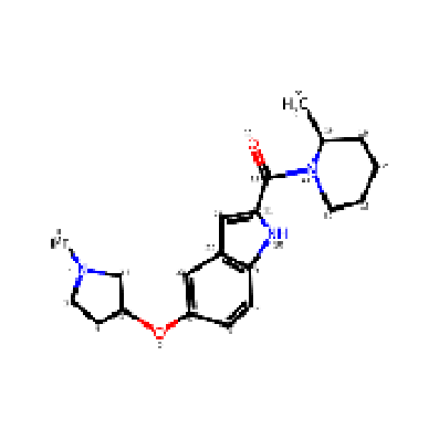 CC(C)N1CCC(Oc2ccc3[nH]c(C(=O)N4CCCCC4C)cc3c2)C1